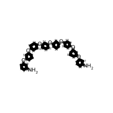 Nc1cccc(Oc2cccc(Oc3ccc(Oc4cccc(Oc5cccc(Oc6ccc(Oc7cccc(Oc8cccc(N)c8)c7)cc6)c5)c4)cc3)c2)c1